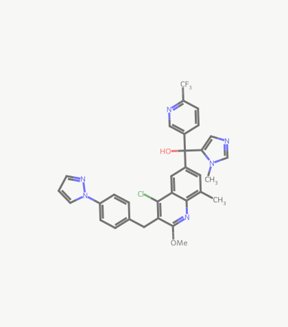 COc1nc2c(C)cc(C(O)(c3ccc(C(F)(F)F)nc3)c3cncn3C)cc2c(Cl)c1Cc1ccc(-n2cccn2)cc1